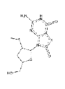 CSC1CC(CO)OC1n1c(=O)sc2c(=O)[nH]c(N)nc21